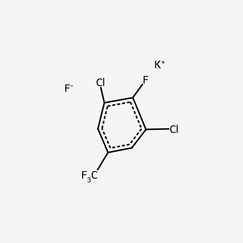 Fc1c(Cl)cc(C(F)(F)F)cc1Cl.[F-].[K+]